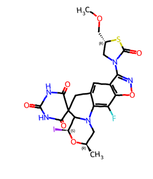 COC[C@H]1CN(c2noc3c(F)c4c(cc23)CC2(C(=O)NC(=O)NC2=O)C2[C@H](I)O[C@H](C)CN42)C(=O)S1